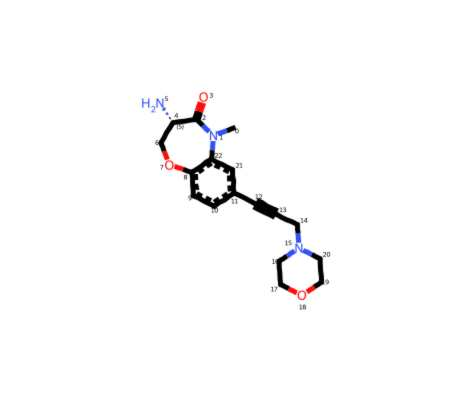 CN1C(=O)[C@@H](N)COc2ccc(C#CCN3CCOCC3)cc21